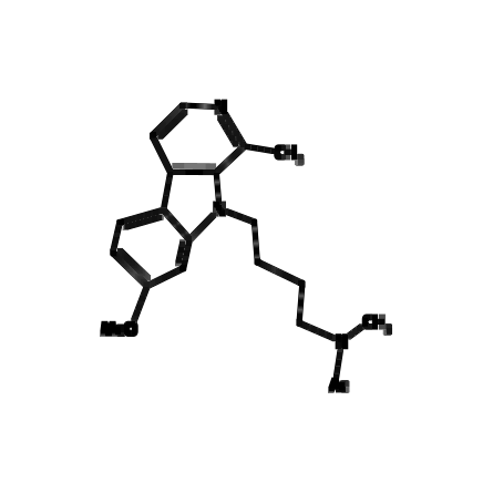 COc1ccc2c3ccnc(C)c3n(CCCCN(C)C(C)=O)c2c1